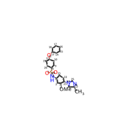 COc1cc(NS(=O)(=O)c2ccc(Oc3ccccc3)cc2)ccc1-n1cnc(C)c1